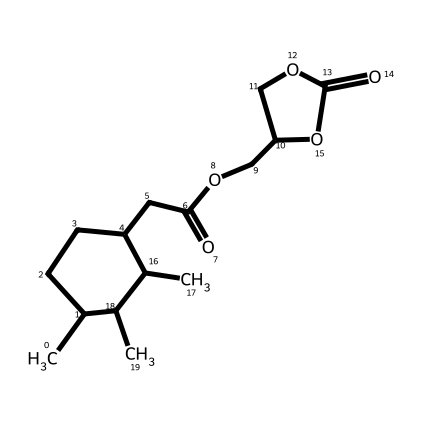 CC1CCC(CC(=O)OCC2COC(=O)O2)C(C)C1C